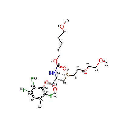 COCCCCCOC(=O)N[C@@H](CSCCOCCOC)C(=O)Oc1c(F)c(C)cc(F)c1F